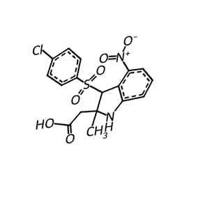 CC1(CC(=O)O)Nc2cccc([N+](=O)[O-])c2C1S(=O)(=O)c1ccc(Cl)cc1